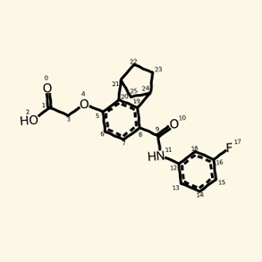 O=C(O)COc1ccc(C(=O)Nc2cccc(F)c2)c2c1C1CCC2C1